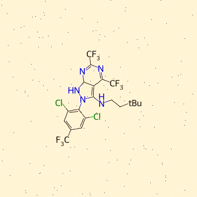 CC(C)(C)CCNC1=C2C(C(F)(F)F)=NC(C(F)(F)F)=NC2NN1c1c(Cl)cc(C(F)(F)F)cc1Cl